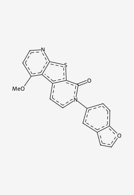 COc1ccnc2sc3c(=O)n(-c4ccc5occc5c4)ccc3c12